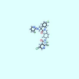 O=C(N[C@H]1CC[C@H](CN2C(=O)C3(CN(c4ncccc4F)C3)c3ccc(F)cc32)CC1)c1cc(Cl)cnc1C(F)F